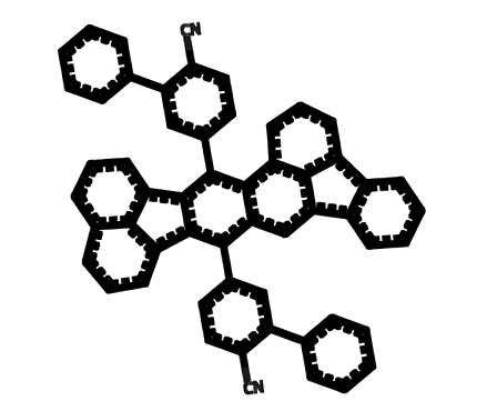 N#Cc1ccc(-c2c3cc4c5ccccc5c5cccc(c3c(-c3ccc(C#N)c(-c6ccccc6)c3)c3c6cccc7cccc(c23)c76)c54)cc1-c1ccccc1